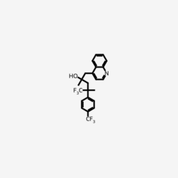 CC(O)(Cc1ccnc2ccccc12)CC(C)(c1ccc(C(F)(F)F)cc1)C(F)(F)F